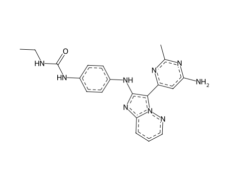 CCNC(=O)Nc1ccc(Nc2nc3cccnn3c2-c2cc(N)nc(C)n2)cc1